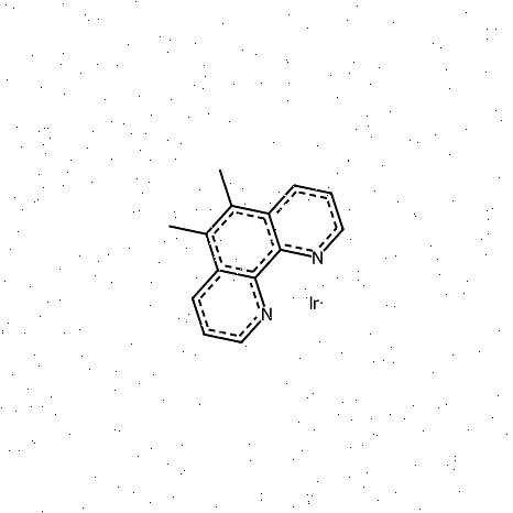 Cc1c(C)c2cccnc2c2ncccc12.[Ir]